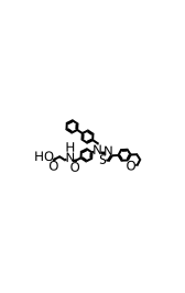 O=C(O)CCNC(=O)c1ccc(N(Cc2ccc(-c3ccccc3)cc2)c2nc(-c3ccc4c(c3)OCCC4)cs2)cc1